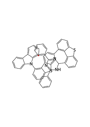 c1ccc(C2=NC(c3cccc4sc5cccc(-c6ccc7c(c6)sc6cccc(-n8c9ccccc9c9ccccc98)c67)c5c34)NC(c3ccccc3)=N2)cc1